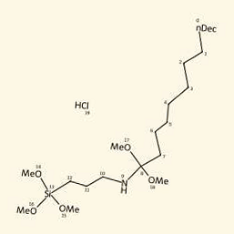 CCCCCCCCCCCCCCCCCC(NCCC[Si](OC)(OC)OC)(OC)OC.Cl